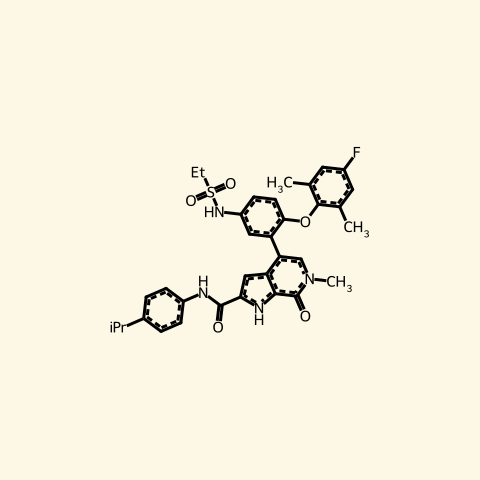 CCS(=O)(=O)Nc1ccc(Oc2c(C)cc(F)cc2C)c(-c2cn(C)c(=O)c3[nH]c(C(=O)Nc4ccc(C(C)C)cc4)cc23)c1